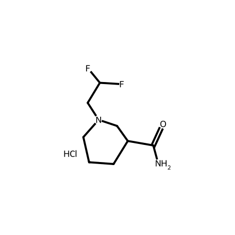 Cl.NC(=O)C1CCCN(CC(F)F)C1